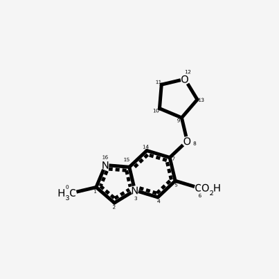 Cc1cn2cc(C(=O)O)c(OC3CCOC3)cc2n1